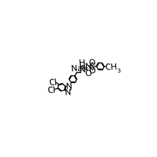 Cc1ccc(S(=O)(=O)NC(=O)NCCc2ccc(-n3cnc4cc(Cl)c(Cl)cc43)cc2)cc1.[NaH]